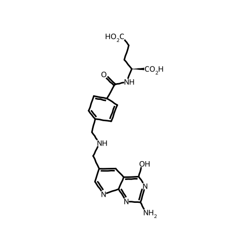 Nc1nc(O)c2cc(CNCc3ccc(C(=O)N[C@@H](CCC(=O)O)C(=O)O)cc3)cnc2n1